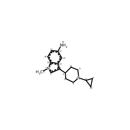 Cn1cc(C2CCN(C3CC3)CC2)c2cc(N)ccc21